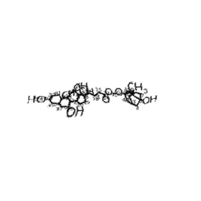 CC12CC3CC(O)(C1)CC(OCOC(=O)CCCC1CCC4C5C(C[C@H](O)[C@]14C)[C@@]1(C)CC[C@@H](O)CC1C[C@H]5O)(C3)C2